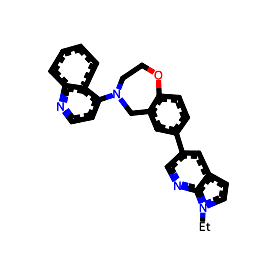 CCn1ccc2cc(-c3ccc4c(c3)CN(c3ccnc5ccccc35)CCO4)cnc21